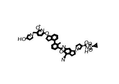 COc1nc(O[C@H]2CCc3c(-c4cccc(-c5nc6cc7c(c(C#N)c6o5)CC[C@H]7N5CC[C@@H](C(=O)NS(=O)(=O)C6CC6)C5)c4C)cccc32)ccc1CN1CC[C@@H](O)C1